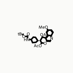 COc1ccc2ncc3c(c2c1)[C@H](OC(C)=O)[C@@H](C1CCC(NC(=O)OC(C)(C)C)CC1)C(OC(C)=O)O3